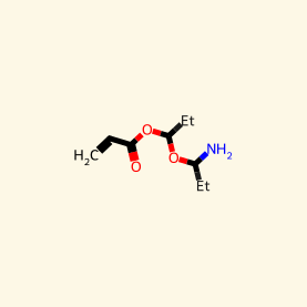 C=CC(=O)OC(CC)OC(N)CC